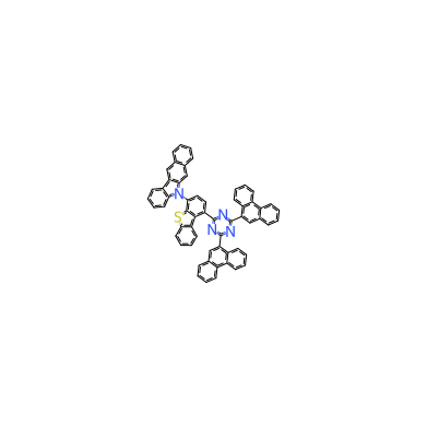 c1ccc2cc3c(cc2c1)c1ccccc1n3-c1ccc(-c2nc(-c3cc4ccccc4c4ccccc34)nc(-c3cc4ccccc4c4ccccc34)n2)c2c1sc1ccccc12